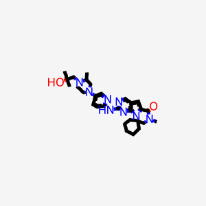 CC1CN(c2ccc(Nc3ncc4cc5n(c4n3)C3(CCCCC3)CN(C)C5=O)nc2)CCN1CC(C)(C)O